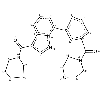 O=C(c1cncc(-c2cccc3c(C(=O)N4CCCCC4)cnn23)c1)N1CCOCC1